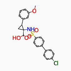 COc1cccc(C2CC2(NS(=O)(=O)c2ccc(-c3ccc(Cl)cc3)cc2)C(=O)O)c1